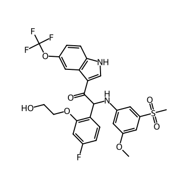 COc1cc(NC(C(=O)c2c[nH]c3ccc(OC(F)(F)F)cc23)c2ccc(F)cc2OCCO)cc(S(C)(=O)=O)c1